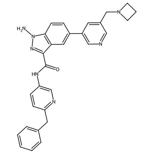 Nn1nc(C(=O)Nc2ccc(Cc3ccccc3)nc2)c2cc(-c3cncc(CN4CCC4)c3)ccc21